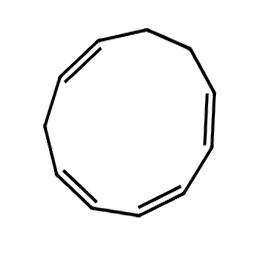 C1=CC=CCCC=CCC=C1